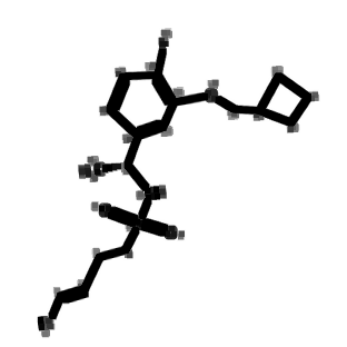 CC/C=C/CCS(=O)(=O)N[C@H](C)c1ccc(F)c(OCC2CCC2)c1